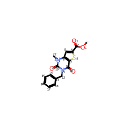 COC(=O)c1cc2c(s1)c(=O)n(Cc1ccccc1)c(=O)n2C